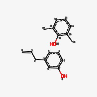 C=CCc1cccc(O)c1.Cc1cccc(C)c1O